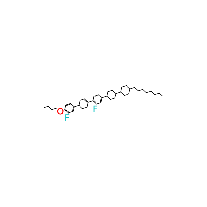 CCCCCCCCC1CCC(C2CCC(c3ccc(C4=CCC(c5ccc(OCCCC)c(F)c5)CC4)c(F)c3)CC2)CC1